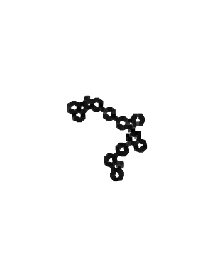 C1=CC(C2=CCC3SC4=C(C3=C2)c2cccc3c2=C4CCC=3)CC=C1C1C=Cc2c(c3ccccc3n2-c2nc(-c3ccc(-c4cccc5c6c(oc45)=CCCC=6)cc3)c3ccccc3n2)C1